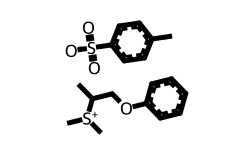 CC(COc1ccccc1)[S+](C)C.Cc1ccc(S(=O)(=O)[O-])cc1